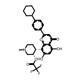 CN1CC[C@H](c2c(O)cc(O)c3c(=O)cc(-c4ccc(C5CCCCC5)cc4)oc23)[C@H](OC(=O)C(F)(F)F)C1